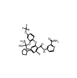 BC(B)(O)Oc1cc(OC(F)(F)F)ccc1Oc1cc(C2CCCC2)cc(F)c1C(=O)Nc1ccnc(C(N)=O)c1